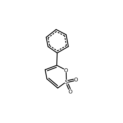 O=S1(=O)C=CC=C(c2ccccc2)O1